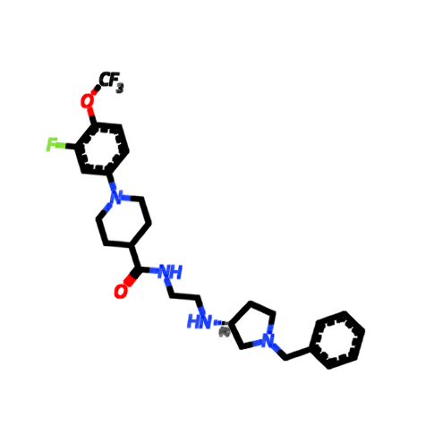 O=C(NCCN[C@@H]1CCN(Cc2ccccc2)C1)C1CCN(c2ccc(OC(F)(F)F)c(F)c2)CC1